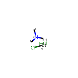 CCCl.CN(C)C.Cl